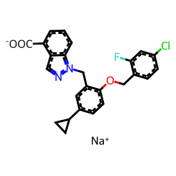 O=C([O-])c1cccc2c1cnn2Cc1cc(C2CC2)ccc1OCc1ccc(Cl)cc1F.[Na+]